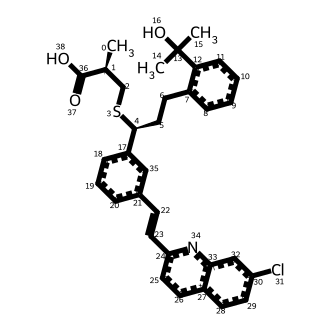 C[C@@H](CS[C@@H](CCc1ccccc1C(C)(C)O)c1cccc(C=Cc2ccc3ccc(Cl)cc3n2)c1)C(=O)O